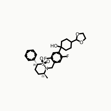 C[C@H]1CC[C@H](c2ccccc2)S(=O)(=O)N1Cc1cc(F)c(C2(O)CCC(C3OCCO3)CC2)cc1F